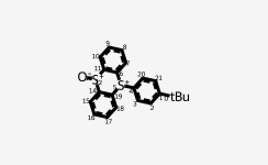 CC(C)(C)c1ccc([S+]2c3ccccc3[S+]([O-])c3ccccc32)cc1